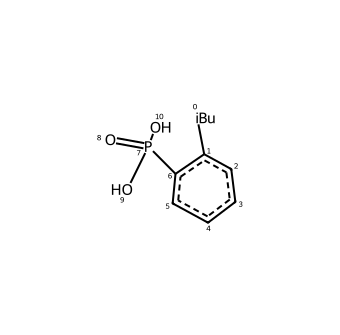 CCC(C)c1ccccc1P(=O)(O)O